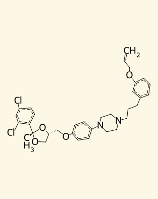 C=CCOc1cccc(CCCN2CCN(c3ccc(OC[C@@H]4CO[C@](C)(c5ccc(Cl)cc5Cl)O4)cc3)CC2)c1